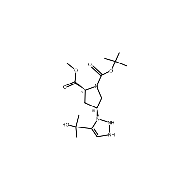 COC(=O)[C@@H]1C[C@H](N2NNC=C2C(C)(C)O)CN1C(=O)OC(C)(C)C